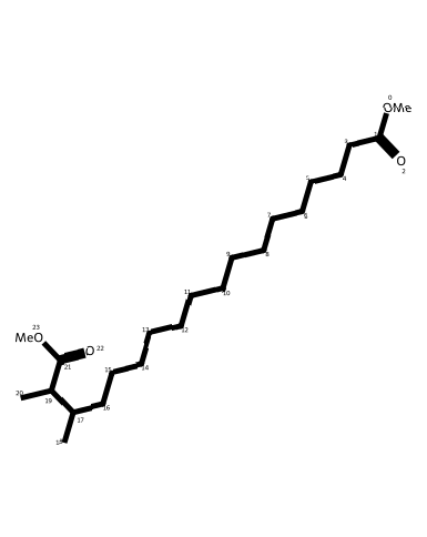 COC(=O)CCCCCCCCCCCCCCC(C)C(C)C(=O)OC